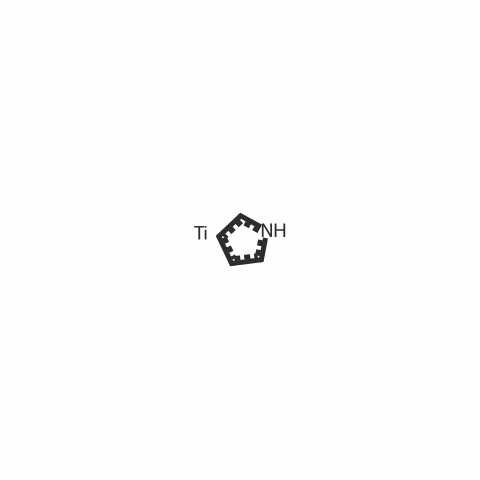 [Ti].c1cc[nH]c1